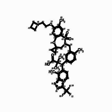 Cc1ccc([C@@H](c2ccn3c(C(F)(F)F)nnc3c2C)C(C)(C)C(=O)O)cc1CN1CC2(CC2)Oc2nc(OCCN3CCC3)c(C)cc2S1(=O)=O